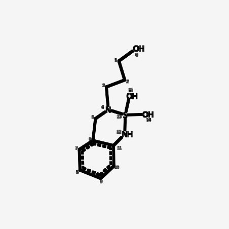 OCCCN1Cc2ccccc2NS1(O)O